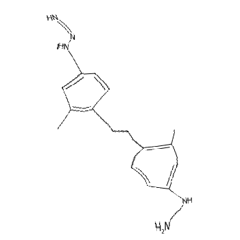 Cc1cc(NN)ccc1CCc1ccc(NN=N)cc1C